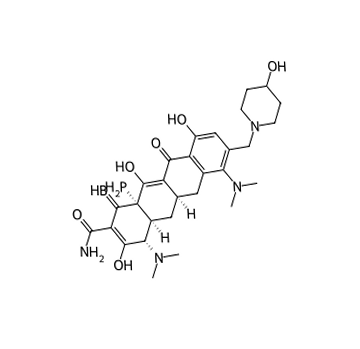 B=C1C(C(N)=O)=C(O)[C@@H](N(C)C)[C@@H]2C[C@@H]3Cc4c(c(O)cc(CN5CCC(O)CC5)c4N(C)C)C(=O)C3=C(O)[C@]12P